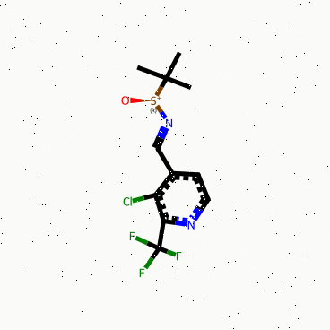 CC(C)(C)[S@+]([O-])N=Cc1ccnc(C(F)(F)F)c1Cl